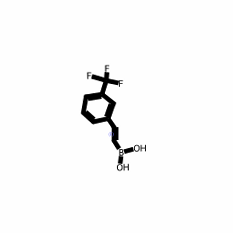 OB(O)/C=C/c1cccc(C(F)(F)F)c1